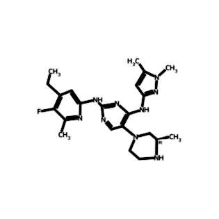 CCc1cc(Nc2ncc(N3CCN[C@H](C)C3)c(Nc3cc(C)n(C)n3)n2)nc(C)c1F